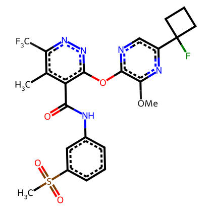 COc1nc(C2(F)CCC2)cnc1Oc1nnc(C(F)(F)F)c(C)c1C(=O)Nc1cccc(S(C)(=O)=O)c1